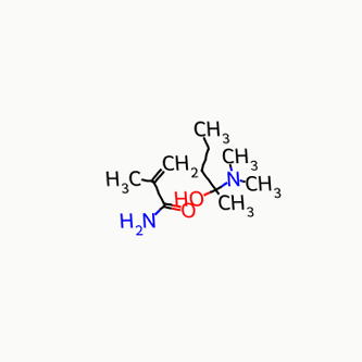 C=C(C)C(N)=O.CCCC(C)(O)N(C)C